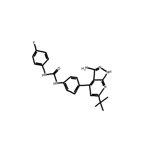 CC(C)(C)c1cc(-c2ccc(NC(=O)Nc3ccc(F)cc3)cc2)c2c(N)n[nH]c2n1